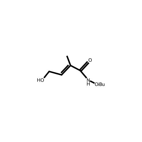 CC(=CCO)C(=O)NOCC(C)C